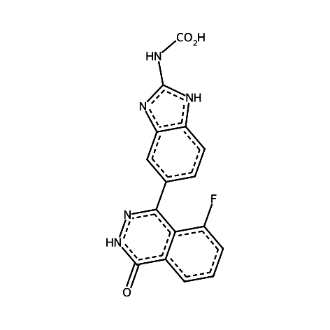 O=C(O)Nc1nc2cc(-c3n[nH]c(=O)c4cccc(F)c34)ccc2[nH]1